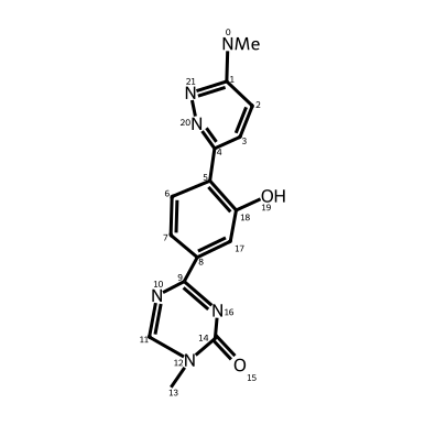 CNc1ccc(-c2ccc(-c3ncn(C)c(=O)n3)cc2O)nn1